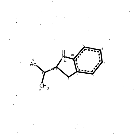 CC(=O)C(C)C1Cc2ccccc2N1